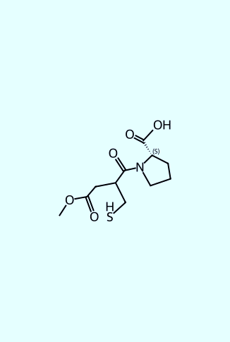 COC(=O)CC(CS)C(=O)N1CCC[C@H]1C(=O)O